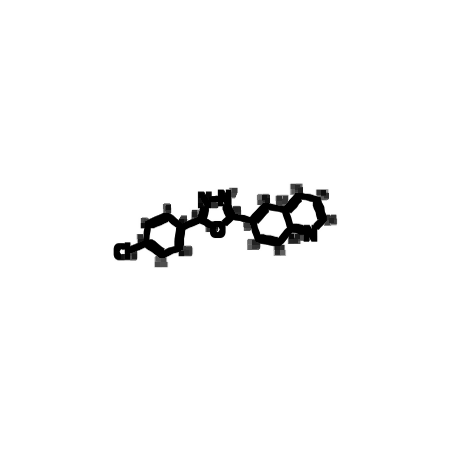 Clc1ccc(-c2nnc(-c3ccc4ncccc4c3)o2)cc1